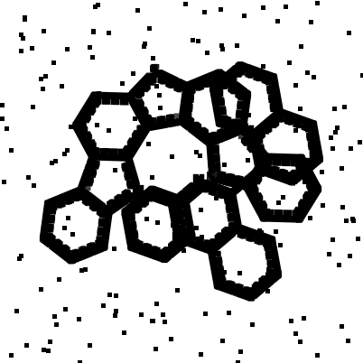 c1ccc(-n2c3ccccc3c3ccc4sc5ccc6c7ccccc7n(-c7nc(-c8cccc9ccccc89)c8ccccc8n7)c6c5c4c32)cc1